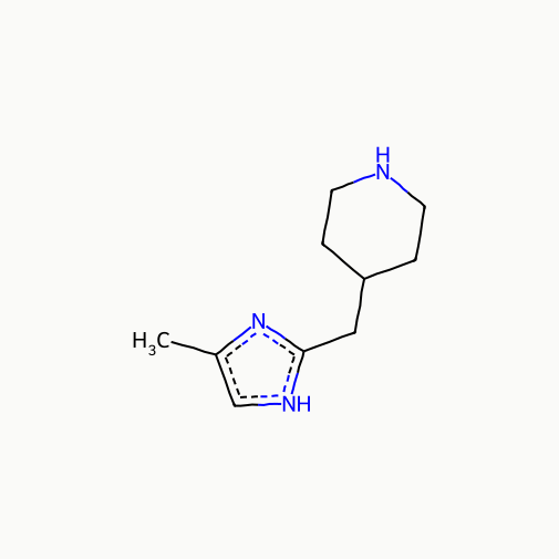 Cc1c[nH]c(CC2CCNCC2)n1